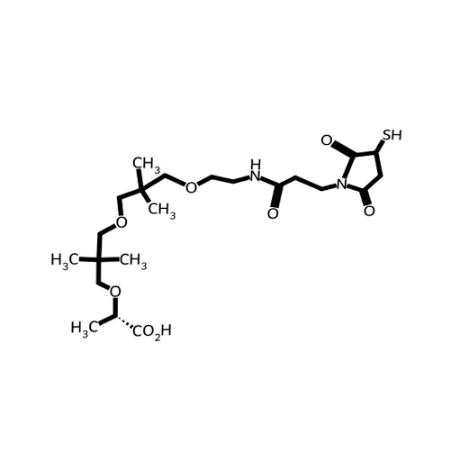 C[C@H](OCC(C)(C)COCC(C)(C)COCCNC(=O)CCN1C(=O)CC(S)C1=O)C(=O)O